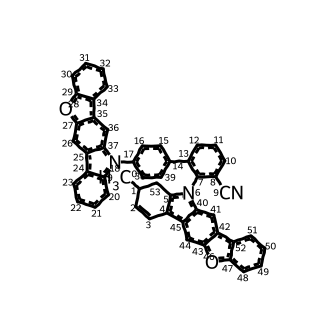 CC1C=Cc2c(n(-c3c(C#N)cccc3-c3ccc(-n4c5ccccc5c5cc6oc7ccccc7c6cc54)cc3)c3cc4c(cc23)oc2ccccc24)C1